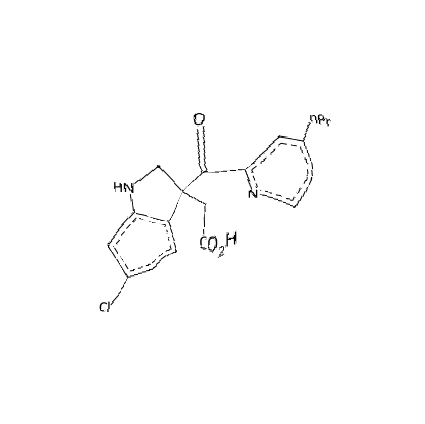 CCCc1ccnc(C(=O)C2(CC(=O)O)CNc3cc(Cl)ccc32)c1